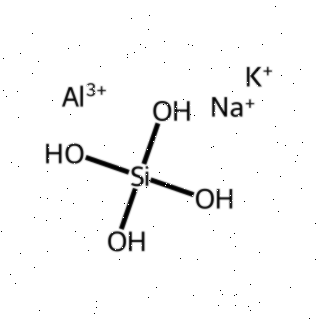 O[Si](O)(O)O.[Al+3].[K+].[Na+]